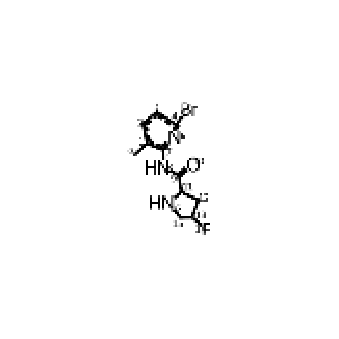 Cc1ccc(Br)nc1NC(=O)C1CC(F)CN1